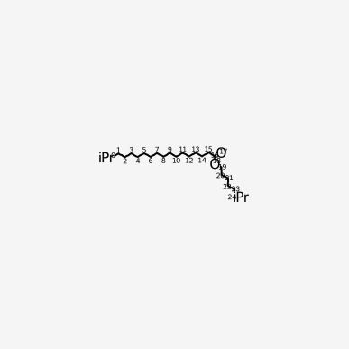 CC(C)CCCCCCCCCCCCCCCC(=O)OCCCCCC(C)C